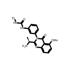 CCNC(=O)Nc1cccc(-n2c([C@H](C)N)nc3cccc(OC)c3c2=O)c1